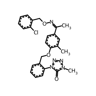 CC(=NOCc1ccccc1Cl)c1ccc(OCc2ccccc2-n2nnn(C)c2=O)c(C)c1